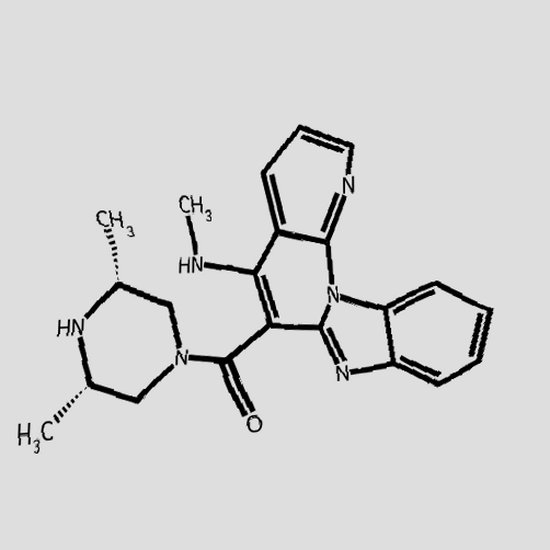 CNc1c(C(=O)N2C[C@@H](C)N[C@@H](C)C2)c2nc3ccccc3n2c2ncccc12